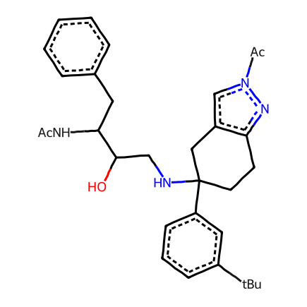 CC(=O)NC(Cc1ccccc1)C(O)CNC1(c2cccc(C(C)(C)C)c2)CCc2nn(C(C)=O)cc2C1